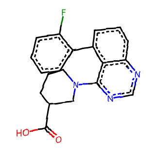 O=C(O)C1CCCN(c2ncnc3cccc(-c4ccccc4F)c23)C1